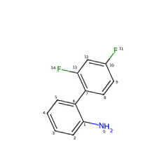 Nc1ccccc1-c1ccc(F)cc1F